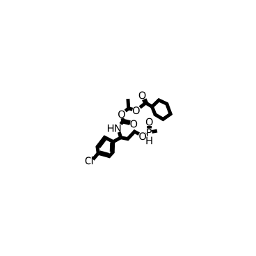 CC(OC(=O)NC(CCO[PH](C)=O)c1ccc(Cl)cc1)OC(=O)C1CCCCC1